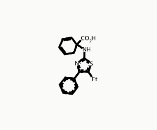 CCc1sc(NC2(C(=O)O)C=CC=CC2)nc1-c1ccccc1